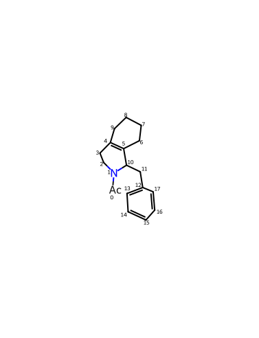 CC(=O)N1CCC2=C(CCCC2)C1Cc1ccccc1